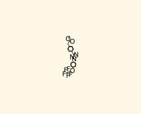 COC(=O)Cc1ccc(-c2ncn(-c3ccc(OC(F)(F)C(F)(F)F)cc3)n2)cc1